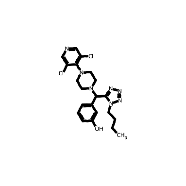 CCCCn1nnnc1C(c1cccc(O)c1)N1CCN(c2c(Cl)cncc2Cl)CC1